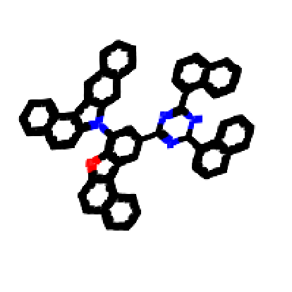 c1ccc2cc3c(cc2c1)c1c2ccccc2ccc1n3-c1cc(C2=NC(c3cccc4ccccc34)NC(c3cccc4ccccc34)=N2)cc2c1oc1ccc3ccccc3c12